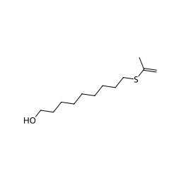 C=C(C)SCCCCCCCCCO